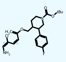 C=C(/C=C\C(Cl)=C/N)OCC1CCN(C(=O)OC(C)(C)C)CC1c1ccc(F)cc1